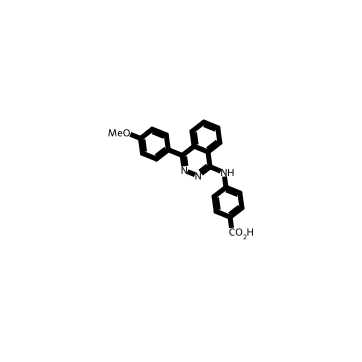 COc1ccc(-c2nnc(Nc3ccc(C(=O)O)cc3)c3ccccc23)cc1